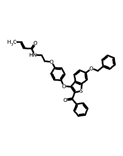 C/C=C/C(=O)NCCOc1ccc(Oc2c(C(=O)c3ccccc3)sc3cc(OCc4ccccc4)ccc23)cc1